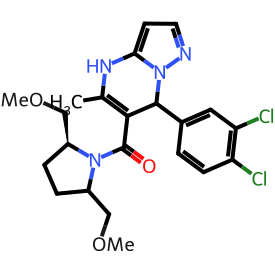 COCC1CC[C@@H](COC)N1C(=O)C1=C(C)Nc2ccnn2C1c1ccc(Cl)c(Cl)c1